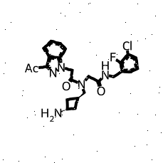 CC(=O)c1nn(CC(=O)N(CC(=O)NCc2cccc(Cl)c2F)C[C@H]2C[C@H](N)C2)c2ccccc12